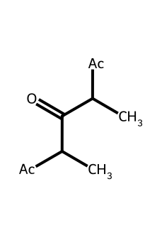 CC(=O)C(C)C(=O)C(C)C(C)=O